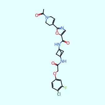 CC(=O)N1CC=C(c2ncc(C(=O)NC34CC(NC(=O)COc5ccc(Cl)c(F)c5)(C3)C4)o2)CC1